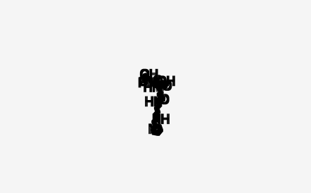 O=C(O)CNC(=O)N[C@@H](CCC(=O)NCCCCNCc1ccccn1)C(=O)O